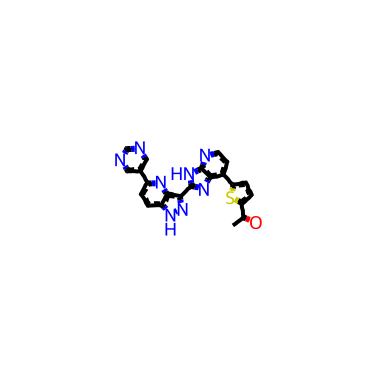 CC(=O)c1ccc(-c2ccnc3[nH]c(-c4n[nH]c5ccc(-c6cncnc6)nc45)nc23)s1